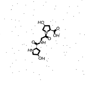 O=C(NCC(=O)N1C[C@H](O)C[C@H]1C(=O)O)[C@@H]1C[C@@H](O)CN1